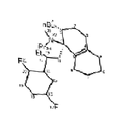 CCCC[C@@H]1CCC2=C(CCCC2)[C@@]1(CC(CC)C1CC(F)CCC1F)N(C)C(C)C